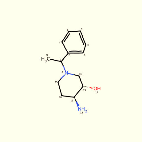 CC(c1ccccc1)N1CC[C@H](N)[C@@H](O)C1